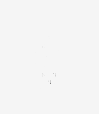 c1ccc([Si](c2ccccc2)(c2cccc(-n3c4ccccc4n4c5ccccc5nc34)c2)c2cccc3c2Oc2ccccc2[Si]3(C2CCCC2)C2CCCC2)cc1